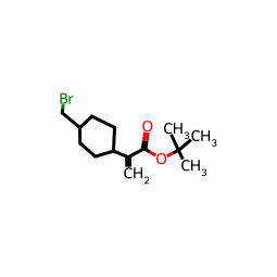 C=C(C(=O)OC(C)(C)C)C1CCC(CBr)CC1